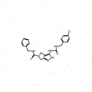 O=C(NCc1ccc(Cl)cc1)Nc1[nH]nc2c1CN(C(=O)NCc1ccccc1)C2